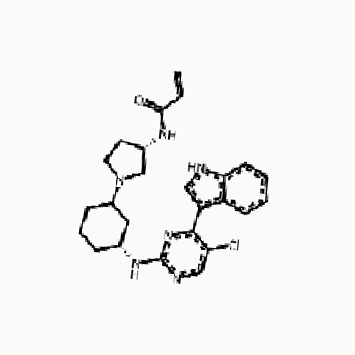 C=CC(=O)N[C@H]1CCN([C@@H]2CCC[C@@H](Nc3ncc(Cl)c(-c4c[nH]c5ccccc45)n3)C2)C1